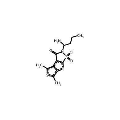 CCCC(N)N1C(=O)c2c(sc3c(C)sc(C)c23)S1(=O)=O